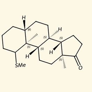 CSC1CCC[C@@H]2CC[C@@H]3[C@H](CC[C@]4(C)C(=O)CC[C@@H]34)[C@@]12C